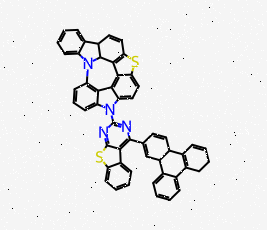 C1=CC2=C(CC1)c1ccccc1C1C=C(c3nc(-n4c5cccc6c5c5c7c8c(sc7ccc54)C=CC4c5ccccc5N6C84)nc4sc5ccccc5c34)C=CC21